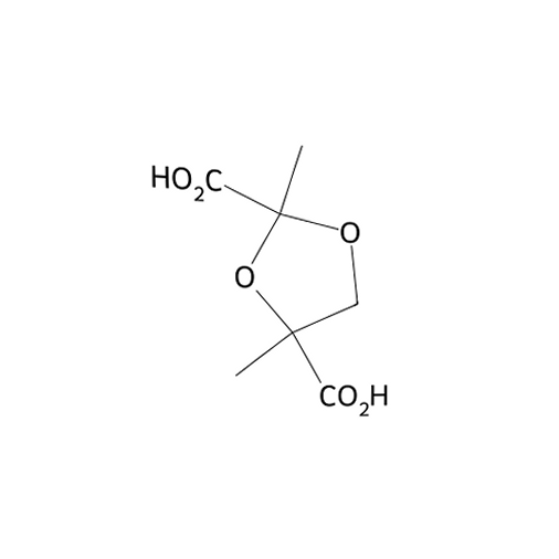 CC1(C(=O)O)COC(C)(C(=O)O)O1